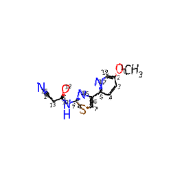 COc1ccc(-c2csc(NC(=O)CC#N)n2)nc1